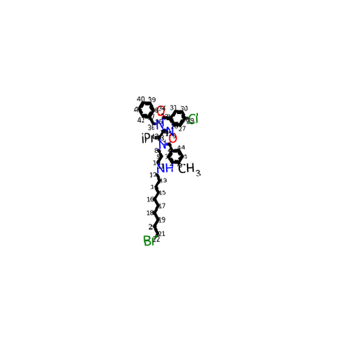 Cc1ccc(C(=O)N(CCCNCCCCCCCCCCBr)C(c2nc3cc(Cl)ccc3c(=O)n2Cc2ccccc2)C(C)C)cc1